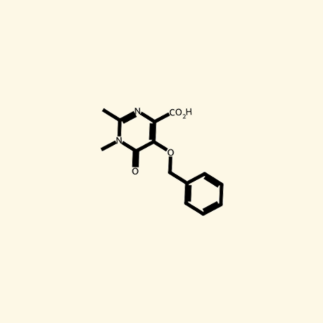 Cc1nc(C(=O)O)c(OCc2ccccc2)c(=O)n1C